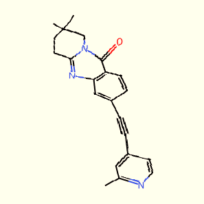 Cc1cc(C#Cc2ccc3c(=O)n4c(nc3c2)CCC(C)(C)C4)ccn1